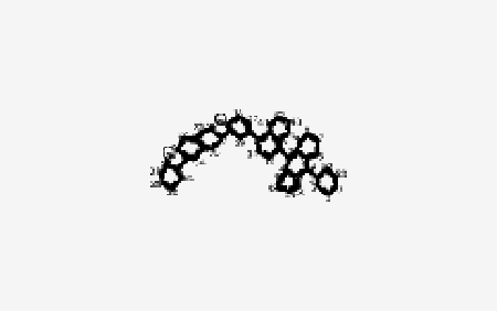 c1ccc(-c2c3ccccc3c(-c3ccc(-c4ccc5oc6cc7cc8oc9ccccc9c8cc7cc6c5c4)c4ccccc34)c3ccccc23)cc1